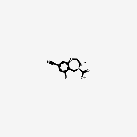 C[C@H]1COc2cc(C#N)cc(F)c2CN1C(=O)O